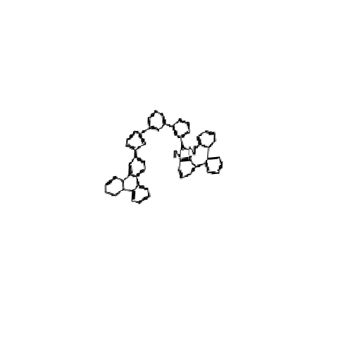 C1=CCC2C(=C1)n1c(-c3cccc(-c4cccc(-c5cccc(-c6ccc7c(c6)C6C=CCCC6c6ccccc6-7)c5)c4)c3)nc3cccc(c31)-c1ccccc12